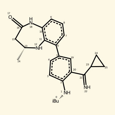 CC[C@@H](C)Nc1ccc(-c2cccc3c2N[C@H](C)CC(=O)N3)cc1C(=N)C1CC1